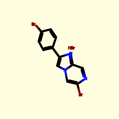 Br.Brc1ccc(-c2cn3cc(Br)ncc3n2)cc1